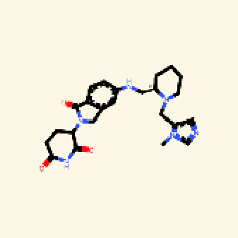 Cn1cncc1CN1CCCC[C@@H]1CNc1ccc2c(c1)CN(C1CCC(=O)NC1=O)C2=O